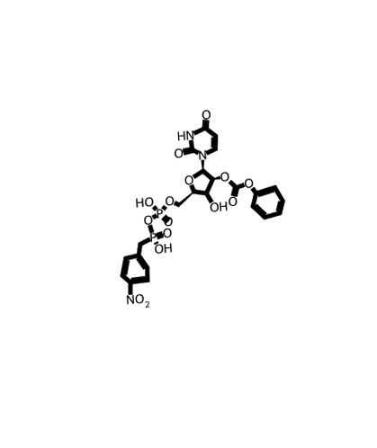 O=C(Oc1ccccc1)O[C@H]1C(O)[C@@H](COP(=O)(O)OP(=O)(O)Cc2ccc([N+](=O)[O-])cc2)O[C@H]1n1ccc(=O)[nH]c1=O